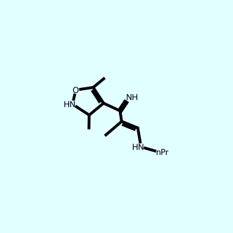 CCCN/C=C(\C)C(=N)C1=C(C)ONC1C